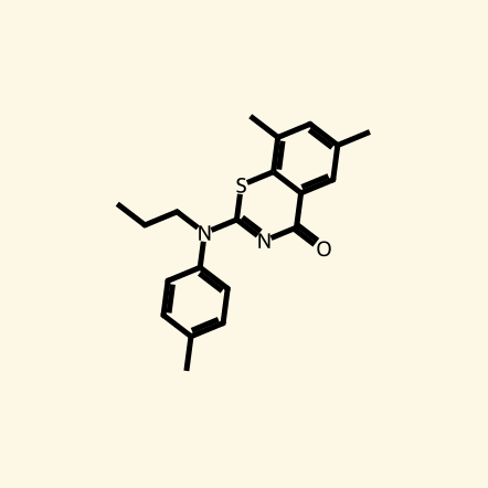 CCCN(c1ccc(C)cc1)c1nc(=O)c2cc(C)cc(C)c2s1